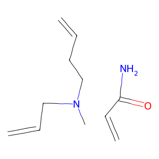 C=CC(N)=O.C=CCCN(C)CC=C